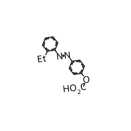 CCc1ccccc1N=Nc1ccc(OC(=O)O)cc1